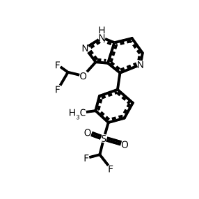 Cc1cc(-c2nccc3[nH]nc(OC(F)F)c23)ccc1S(=O)(=O)C(F)F